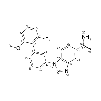 COc1cccc(F)c1-c1cccc(-n2cnc3cc([C@H](C)N)ccc32)c1